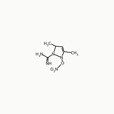 CC1=CC(C)N(C(=N)N)N1O[N+](=O)[O-]